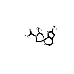 C[C@H]1C[C@@]2(CCN1C(=O)C(F)(F)F)OCCc1cc(C(F)(F)F)sc12